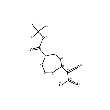 CC(C)(C)OC(=O)N1CCCC(C(=O)C(=N)Cl)CC1